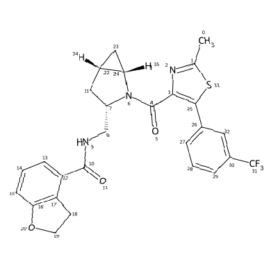 Cc1nc(C(=O)N2[C@H](CNC(=O)c3cccc4c3CCO4)C[C@@H]3C[C@@H]32)c(-c2cccc(C(F)(F)F)c2)s1